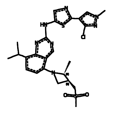 CC(C)c1ccc(N2C[C@H](CS(C)(=O)=O)[C@H]2C)c2cnc(Nc3cnc(-c4cn(C)nc4Cl)s3)nc12